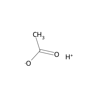 CC([O])=O.[H+]